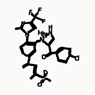 C=C(/C=C(\C)S(C)(=O)=O)c1ccc(-n2cc(C(F)(F)F)nc2C)c(N2NNC=C2C(=O)c2ccc(Cl)cc2)c1